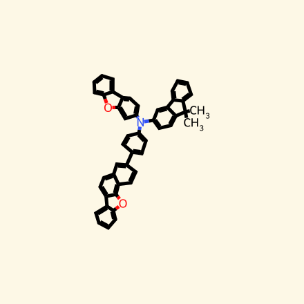 CC1(C)c2ccccc2-c2cc(N(c3ccc(-c4ccc5c(ccc6c7ccccc7oc56)c4)cc3)c3ccc4c(c3)oc3ccccc34)ccc21